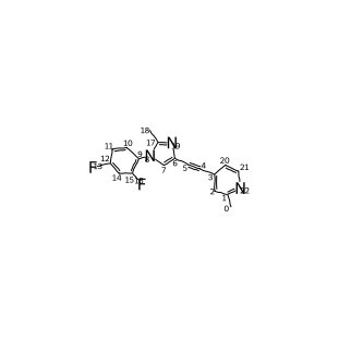 Cc1cc(C#Cc2cn(-c3ccc(F)cc3F)c(C)n2)ccn1